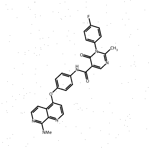 CNc1nccc2c(Oc3ccc(NC(=O)c4cnc(C)n(-c5ccc(F)cc5)c4=O)cc3)ccnc12